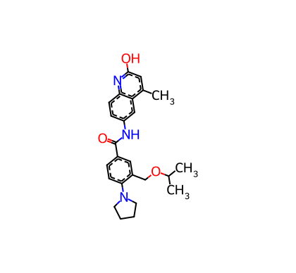 Cc1cc(O)nc2ccc(NC(=O)c3ccc(N4CCCC4)c(COC(C)C)c3)cc12